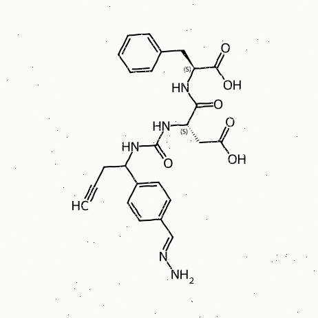 C#CCC(NC(=O)N[C@@H](CC(=O)O)C(=O)N[C@@H](Cc1ccccc1)C(=O)O)c1ccc(C=NN)cc1